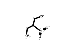 [CH2]CC(CO)[SH](=O)=O